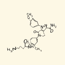 C=C(CCCN)Nc1ccc(N2CCc3c(C(N)=O)nn(-c4ccc(OC)cc4)c3C2=O)cc1C